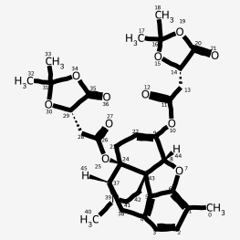 Cc1ccc2c3c1O[C@H]1C(OC(=O)C[C@@H]4OC(C)(C)OC4=O)=CC[C@@]4(OC(=O)C[C@@H]5OC(C)(C)OC5=O)[C@@H](C2)N(C)CC[C@]314